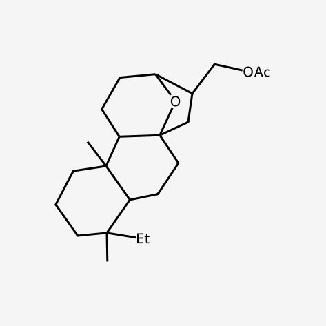 CCC1(C)CCCC2(C)C1CCC13CC(COC(C)=O)C(CCC12)O3